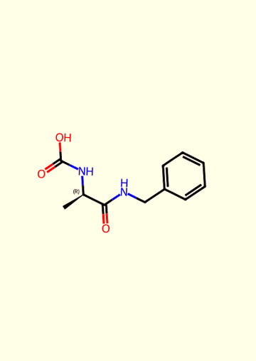 C[C@@H](NC(=O)O)C(=O)NCc1ccccc1